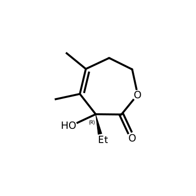 CC[C@]1(O)C(=O)OCCC(C)=C1C